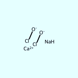 [Ca+2].[NaH].[O-]Cl.[O-]Cl